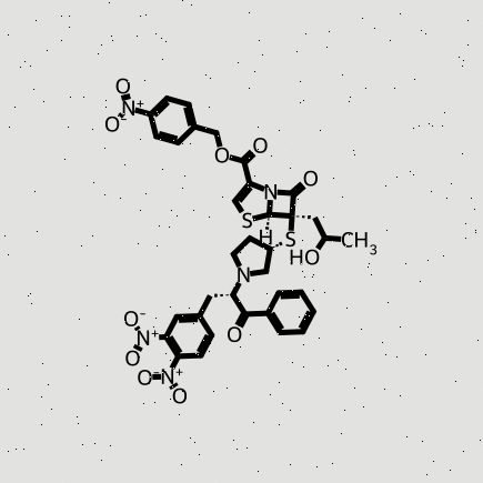 CC(O)C[C@@]1(S[C@H]2CCN([C@@H](Cc3ccc([N+](=O)[O-])c([N+](=O)[O-])c3)C(=O)c3ccccc3)C2)C(=O)N2C(C(=O)OCc3ccc([N+](=O)[O-])cc3)=CS[C@@H]21